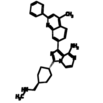 CNC[C@H]1CC[C@H](c2nc(-c3ccc4c(C)cc(-c5ccccc5)nc4c3)c3c(N)nccn32)CC1